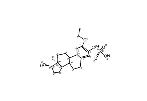 CCOc1cc2c(cc1NS(=O)(=O)O)CCC1C2CC[C@@]2(C)C1CC[C@H]2O